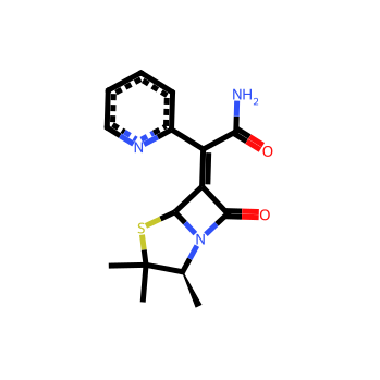 C[C@@H]1N2C(=O)/C(=C(\C(N)=O)c3ccccn3)C2SC1(C)C